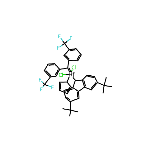 CC(C)(C)c1ccc2c(c1)-c1cc(C(C)(C)C)ccc1[CH]2[Hf]([Cl])([Cl])(=[C](c1cccc(C(F)(F)F)c1)c1cccc(C(F)(F)F)c1)[CH]1C=CC=C1